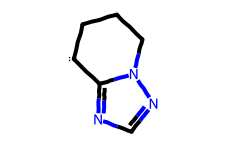 [C]1CCCn2ncnc21